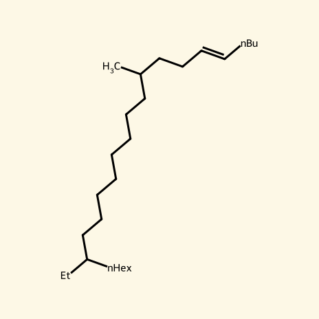 [CH2]CCCC=CCCC(C)CCCCCCCCC(CC)CCCCC[CH2]